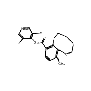 COc1ccc(C(=O)Nc2c(Cl)cncc2Cl)c2c1OCCCCO2